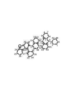 c1ccc(-c2c3ccccc3c(-c3cccc4c(-c5ccc6oc7ccccc7c6c5-c5ccccc5)cccc34)c3ccccc23)cc1